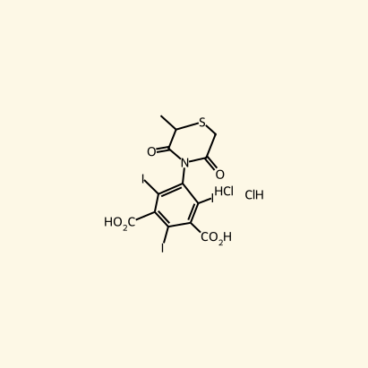 CC1SCC(=O)N(c2c(I)c(C(=O)O)c(I)c(C(=O)O)c2I)C1=O.Cl.Cl